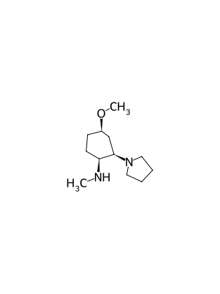 CN[C@H]1CC[C@@H](OC)C[C@H]1N1CCCC1